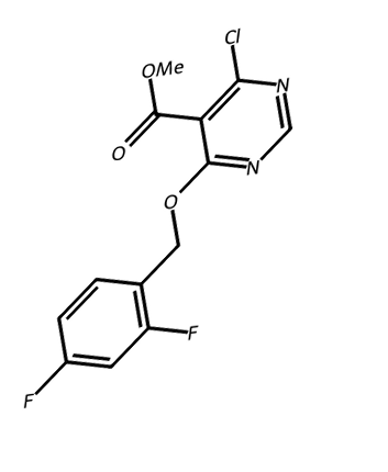 COC(=O)c1c(Cl)ncnc1OCc1ccc(F)cc1F